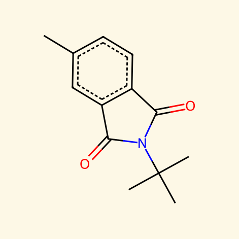 Cc1ccc2c(c1)C(=O)N(C(C)(C)C)C2=O